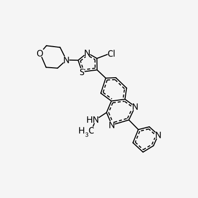 CNc1nc(-c2cccnc2)nc2ccc(-c3sc(N4CCOCC4)nc3Cl)cc12